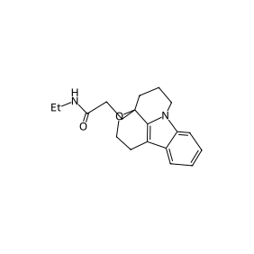 CCNC(=O)CCC12CCCn3c1c(c1ccccc13)CCO2